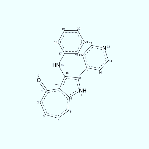 O=c1ccccc2[nH]c(-c3ccncc3)c(Nc3ccccc3)c12